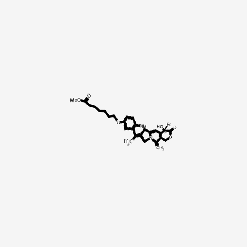 C=C1C2=C(C=C3C4Nc5ccc(OCCCCCCC(=O)OC)cc5C(C)=C4CN13)[C@@](O)(CC)C(=O)OC2